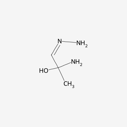 CC(N)(O)/C=N\N